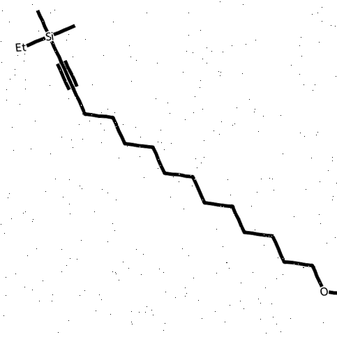 CCOCCCCCCCCCCCCC#C[Si](C)(C)CC